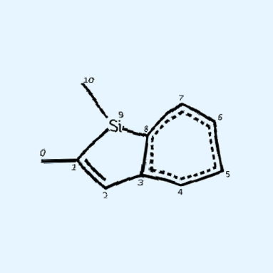 CC1=Cc2ccccc2[Si]1C